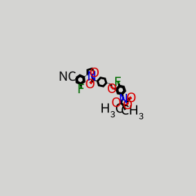 CC1(C)OC(=O)N(c2ccc(F)c(OC[C@H]3CC[C@H](C(=O)N4OCC[C@H]4c4cc(F)cc(C#N)c4)CC3)c2)C1=O